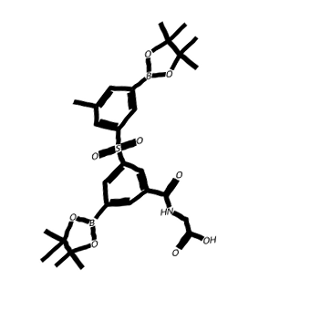 Cc1cc(B2OC(C)(C)C(C)(C)O2)cc(S(=O)(=O)c2cc(B3OC(C)(C)C(C)(C)O3)cc(C(=O)NCC(=O)O)c2)c1